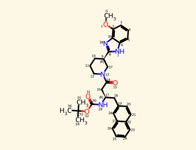 COc1cccc2[nH]c([C@@H]3CCCN(C(=O)C[C@@H](Cc4ccc5ccccc5c4)NC(=O)OC(C)(C)C)C3)nc12